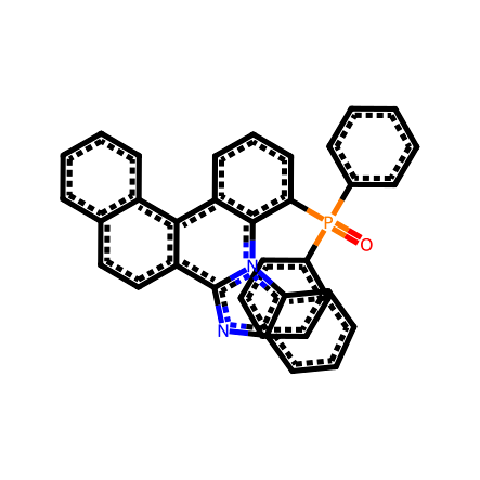 O=P(c1ccccc1)(c1ccccc1)c1cccc2c3c4ccccc4ccc3c3nc4ccccc4n3c12